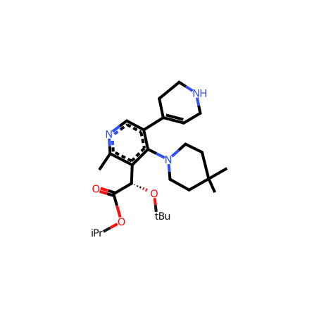 Cc1ncc(C2=CCNCC2)c(N2CCC(C)(C)CC2)c1[C@H](OC(C)(C)C)C(=O)OC(C)C